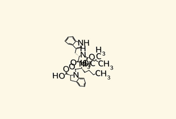 CCCC[C@H](NC(=O)[C@H](Cc1c[nH]c2ccccc12)NC(=O)OC(C)(C)C)C(=O)N1c2ccccc2C[C@H]1C(=O)O